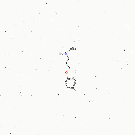 CCCCN(CCCC)CCCOc1ccc(C)cc1